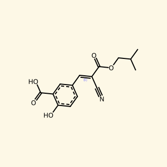 CC(C)COC(=O)/C(C#N)=C/c1ccc(O)c(C(=O)O)c1